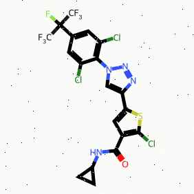 O=C(NC1CC1)c1cc(-c2cn(-c3c(Cl)cc(C(F)(C(F)(F)F)C(F)(F)F)cc3Cl)nn2)sc1Cl